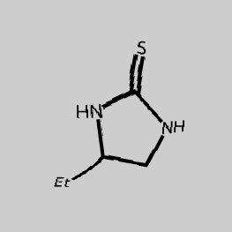 CCC1CNC(=S)N1